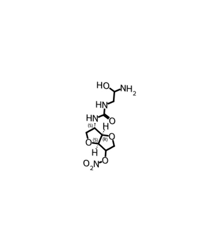 NC(O)CNC(=O)N[C@H]1CO[C@@H]2C(O[N+](=O)[O-])CO[C@H]12